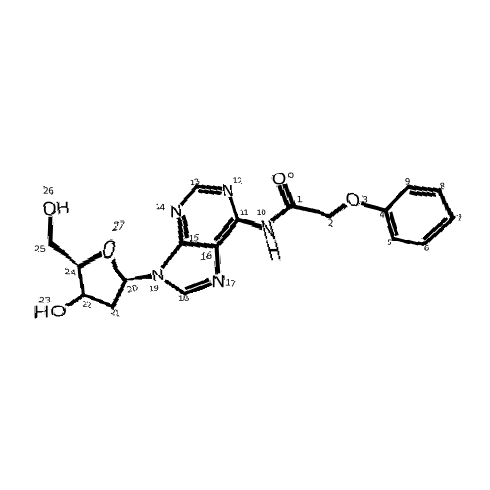 O=C(COc1ccccc1)Nc1ncnc2c1ncn2[C@H]1CC(O)[C@@H](CO)O1